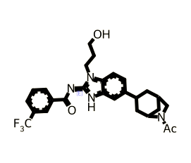 CC(=O)N1CC2CC(c3ccc4c(c3)[nH]/c(=N\C(=O)c3cccc(C(F)(F)F)c3)n4CCCO)CC1C2